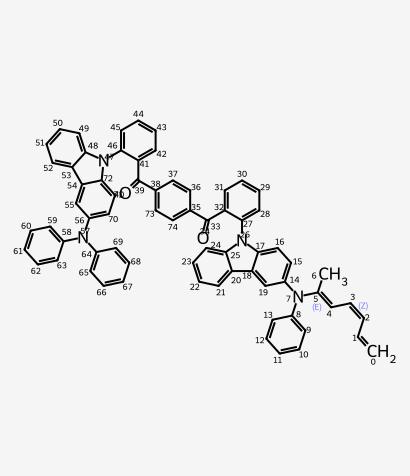 C=C/C=C\C=C(/C)N(c1ccccc1)c1ccc2c(c1)c1ccccc1n2-c1ccccc1C(=O)c1ccc(C(=O)c2ccccc2-n2c3ccccc3c3cc(N(c4ccccc4)c4ccccc4)ccc32)cc1